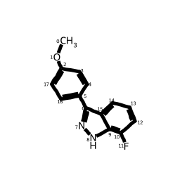 COc1ccc(-c2n[nH]c3c(F)cccc23)cc1